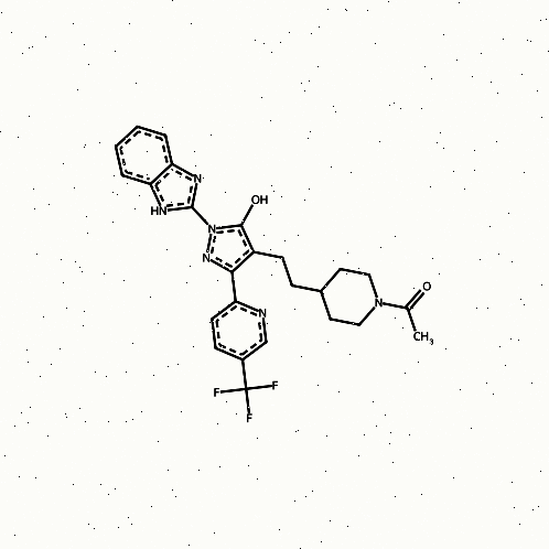 CC(=O)N1CCC(CCc2c(-c3ccc(C(F)(F)F)cn3)nn(-c3nc4ccccc4[nH]3)c2O)CC1